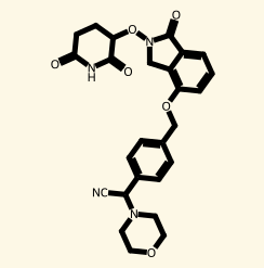 N#CC(c1ccc(COc2cccc3c2CN(OC2CCC(=O)NC2=O)C3=O)cc1)N1CCOCC1